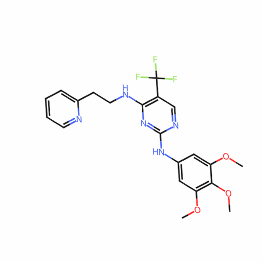 COc1cc(Nc2ncc(C(F)(F)F)c(NCCc3ccccn3)n2)cc(OC)c1OC